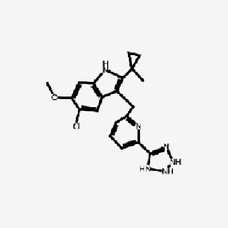 COc1cc2[nH]c(C3(C)CC3)c(Cc3cccc(C4=NNNN4)n3)c2cc1Cl